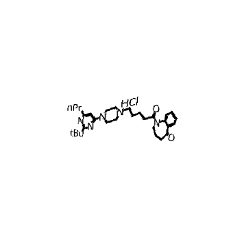 CCCc1cc(N2CCN(CCCCC(=O)N3CCCC(=O)c4ccccc43)CC2)nc(C(C)(C)C)n1.Cl